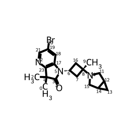 CC1(C)C(=O)N([C@H]2C[C@@](C)(N3CC4CC4C3)C2)c2cc(Br)cnc21